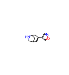 C1=C(c2cnoc2)CC2CC1CN2